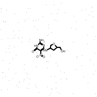 Nc1nc(NC2COC(CO)C2)c([N+](=O)[O-])c(=O)[nH]1